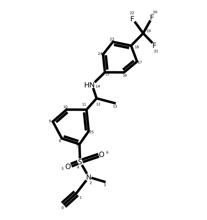 C#CN(C)S(=O)(=O)c1cccc(C(C)Nc2ccc(C(F)(F)F)cc2)c1